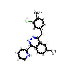 COc1ccc(Cc2nnc(-c3ccccn3)c3ccc(C#N)cc23)cc1Cl